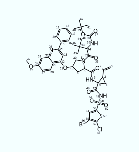 C=CC1CC1(NC(=O)C1CC(Oc2cc(-c3ccccc3)nc3cc(OC)ccc23)CN1C(=O)C(NC(=O)OC(C)(C)C)C(C)(C)C)C(=O)NS(=O)(=O)c1cc(Br)c(Cl)s1